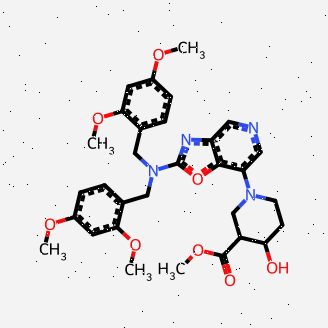 COC(=O)C1CN(c2cncc3nc(N(Cc4ccc(OC)cc4OC)Cc4ccc(OC)cc4OC)oc23)CCC1O